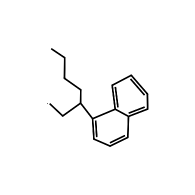 [CH2]CC(CCCC)c1cccc2ccccc12